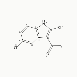 CC(=O)c1c(Cl)[nH]c2ccc(Cl)cc12